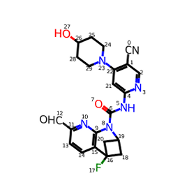 N#Cc1cnc(NC(=O)N2c3nc(C=O)ccc3C3(F)CC2C3)cc1N1CCC(O)CC1